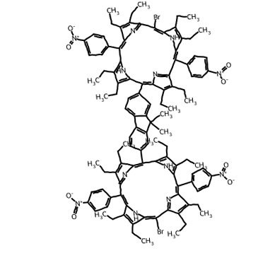 CCC1=C(CC)c2nc1c(Br)c1[nH]c(c(CC)c1CC)c(-c1ccc([N+](=O)[O-])cc1)c1nc(c(-c3ccc4c(c3)C(C)(C)c3cc(-c5c6nc(c(-c7ccc([N+](=O)[O-])cc7)c7[nH]c(c(Br)c8nc(c(-c9ccc([N+](=O)[O-])cc9)c9[nH]c5c(CC)c9CC)C(CC)=C8CC)c(CC)c7CC)C(CC)=C6CC)ccc3-4)c3[nH]c(c(CC)c3CC)c2-c2ccc([N+](=O)[O-])cc2)C(CC)=C1CC